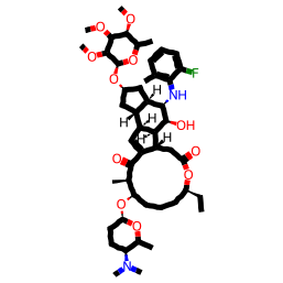 CC[C@H]1CCC[C@H](O[C@H]2CC[C@H](N(C)C)C(C)O2)[C@@H](C)C(=O)C2=C[C@H]3[C@@H]4C[C@H](O[C@@H]5OC(C)[C@H](OC)C(OC)C5OC)C[C@H]4[C@H](Nc4c(C)cccc4F)[C@@H](O)[C@H]3[C@@H]2CC(=O)O1